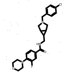 O=C(NCC1C2CN(Cc3ccc(Cl)cc3)CC12)c1ccc(N2CCOCC2)c(F)c1